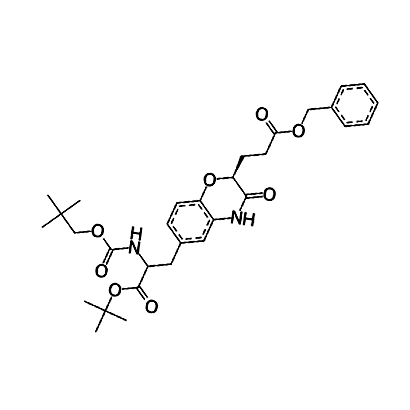 CC(C)(C)COC(=O)NC(Cc1ccc2c(c1)NC(=O)[C@H](CCC(=O)OCc1ccccc1)O2)C(=O)OC(C)(C)C